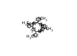 CN1C=C(C2=C3C=CC(=N3)C(C3=CN(C)CC=C3)=c3ccc([nH]3)=C(C3=CN(C)CC=C3)C3=NC(Cl)(C=C3)C(Cl)(C3=CN(C)CC=C3)c3ccc2[nH]3)C=CC1